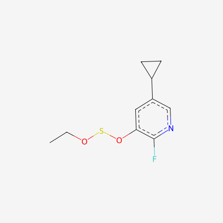 CCOSOc1cc(C2CC2)cnc1F